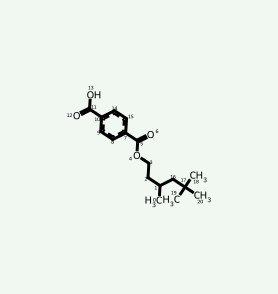 CC(CCOC(=O)c1ccc(C(=O)O)cc1)CC(C)(C)C